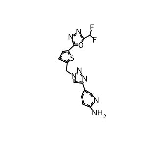 Nc1ccc(-c2cn(Cc3ccc(-c4nnc(C(F)F)o4)s3)nn2)cn1